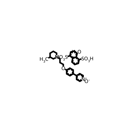 CC1CCCN(CCCOc2ccc(-c3cc[n+]([O-])cc3)cc2)C1.O.O=S(=O)(O)c1cccc2c(S(=O)(=O)O)cccc12